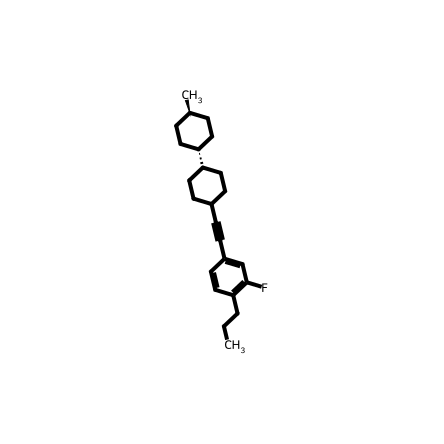 CCCc1ccc(C#CC2CCC([C@H]3CC[C@H](C)CC3)CC2)cc1F